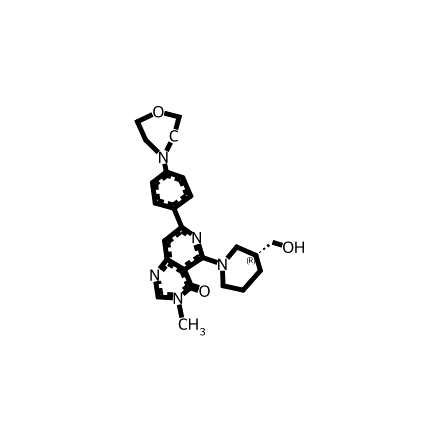 Cn1cnc2cc(-c3ccc(N4CCOCC4)cc3)nc(N3CCC[C@@H](CO)C3)c2c1=O